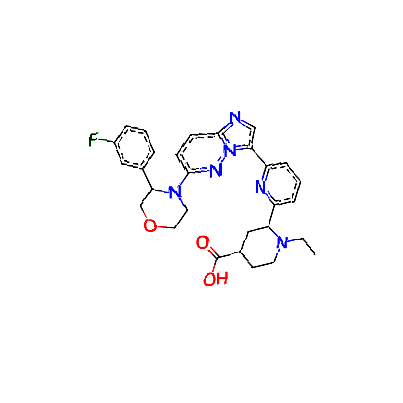 CCN1CCC(C(=O)O)CC1c1cccc(-c2cnc3ccc(N4CCOCC4c4cccc(F)c4)nn23)n1